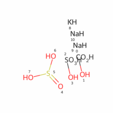 O=C(O)O.O=S(=O)(O)O.O=S(O)O.[KH].[NaH].[NaH]